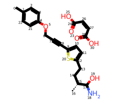 Cc1ccc(OCC#Cc2ccc(CC[C@@H](C)C(N)O)s2)cc1.O=C(O)/C=C\C(=O)O